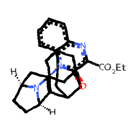 CCOC(=O)c1nc2ccccc2n([C@H]2C[C@H]3CC[C@@H](C2)N3C23CC4CC(CC(C4)C2)C3)c1=O